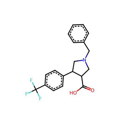 O=C(O)C1CN(Cc2ccccc2)CC1c1ccc(C(F)(F)F)cc1